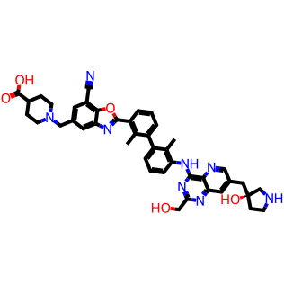 Cc1c(Nc2nc(CO)nc3cc(C[C@@]4(O)CCNC4)cnc23)cccc1-c1cccc(-c2nc3cc(CN4CCC(C(=O)O)CC4)cc(C#N)c3o2)c1C